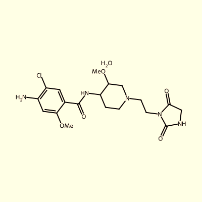 COc1cc(N)c(Cl)cc1C(=O)NC1CCN(CCN2C(=O)CNC2=O)CC1OC.O